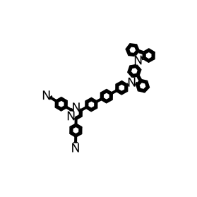 N#Cc1ccc(-c2cc(-c3ccc(-c4ccc(-c5ccc(-n6c7ccccc7c7cc(-n8c9ccccc9c9ccccc98)ccc76)cc5)cc4)cc3)nc(-c3ccc(C#N)cc3)n2)cc1